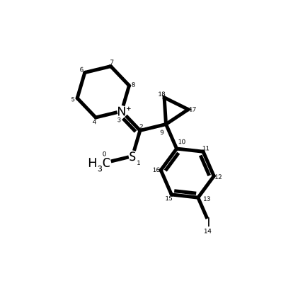 CSC(=[N+]1CCCCC1)C1(c2ccc(I)cc2)CC1